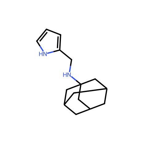 c1c[nH]c(CNC23CC4CC(CC(C4)C2)C3)c1